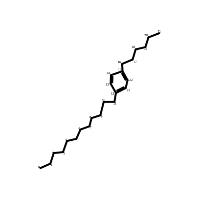 CCCCCCCCCCCCc1ccc(CCCCCC)cc1